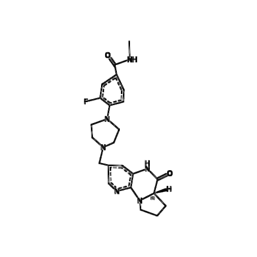 CNC(=O)c1ccc(N2CCN(Cc3cnc4c(c3)NC(=O)[C@@H]3CCCN43)CC2)c(F)c1